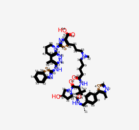 Cc1ncsc1-c1ccc([C@H](C)NC(=O)[C@@H]2C[C@@H](O)CN2C(=O)[C@@H](NC(=O)CCCCN(C)CCCc2sc(N3CCCc4c3nnc(Nc3nc5ccccc5s3)c4C)nc2C(=O)O)C(C)(C)C)cc1